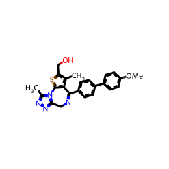 COc1ccc(-c2ccc(C3=NCc4nnc(C)n4-c4sc(CO)c(C)c43)cc2)cc1